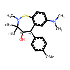 CCCCC1(CCCC)[C@H](O)[C@H](c2ccc(OC)cc2)c2cc(N(C)C)ccc2SN1C